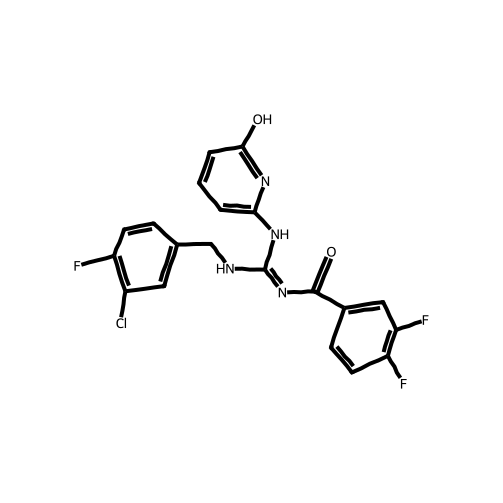 O=C(/N=C(/NCc1ccc(F)c(Cl)c1)Nc1cccc(O)n1)c1ccc(F)c(F)c1